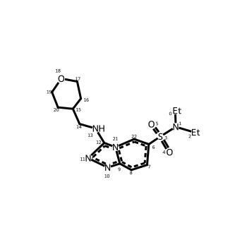 CCN(CC)S(=O)(=O)c1ccc2nnc(NCC3CCOCC3)n2c1